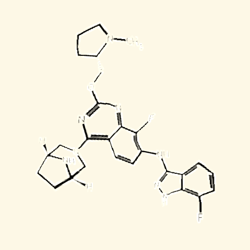 CN1CCC[C@H]1COc1nc(N2C[C@H]3CC[C@@H](C2)N3)c2ccc(Nc3n[nH]c4c(F)cccc34)c(F)c2n1